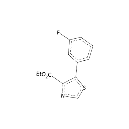 CCOC(=O)c1ncsc1-c1cccc(F)c1